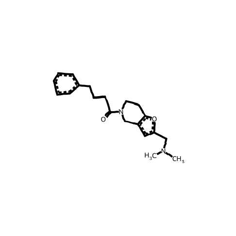 CN(C)Cc1cc2c(o1)CCN(C(=O)CCCc1ccccc1)C2